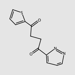 O=C(CCC(=O)c1cccs1)c1cccnn1